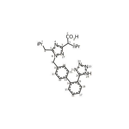 CCCC(C(=O)O)c1nc(CC(C)C)n(Cc2ccc(-c3ccccc3-c3nnn[nH]3)cc2)n1